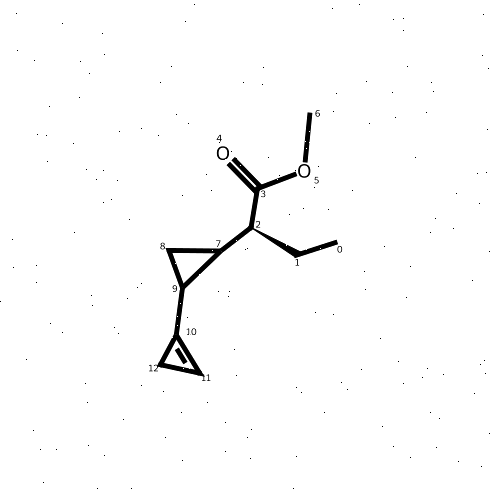 CC[C@H](C(=O)OC)C1CC1C1=CC1